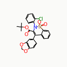 CC(C)(C)OC(=O)C1=C(c2ccc3c(c2)OCO3)c2ccccc2S(=O)(=O)N1c1ccccc1Cl